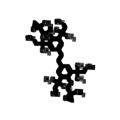 CC(C)(C)CC(C)(C)c1cc(CCc2cc(C(C)(C)CC(C)(C)C)c(OCC3(C)CO3)c(C(C)(C)CC(C)(C)C)c2)cc(C(C)(C)CC(C)(C)C)c1OCC1(C)CO1